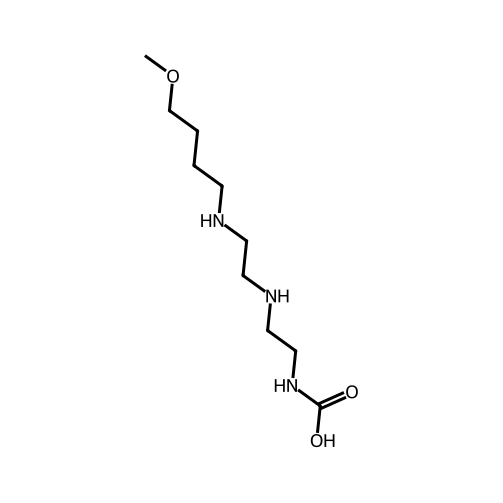 COCCCCNCCNCCNC(=O)O